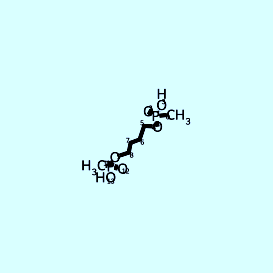 CP(=O)(O)OCCCCOP(C)(=O)O